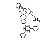 CCC1CC2CC(C)C3(c4cc5ccccc5cc4-c4cc5ccc(-c6nc(-c7ccccc7)nc(-c7ccccc7)n6)cc5cc43)C(C1)C2